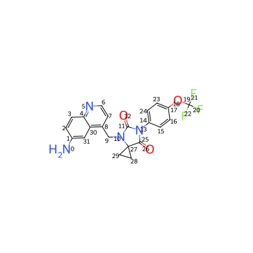 Nc1ccc2nccc(CN3C(=O)N(c4ccc(OC(F)(F)F)cc4)C(=O)C34CC4)c2c1